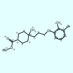 Cc1c(Br)cccc1OCCCC1(C)CCN(C(=O)OC(C)(C)C)CC1